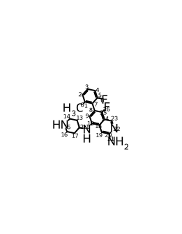 Cc1cccc(F)c1-c1cc(NC2CCNCC2)c2cc(N)ncc2c1F